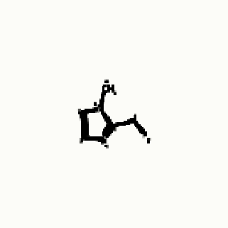 Cn1[c]cnc1CF